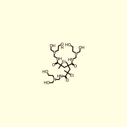 CCC(C)(CC(C)(CC(C)(CC)C(=O)NCN(CO)CCO)C(=O)NCN(CO)CCO)C(=O)NCN(CO)CCO